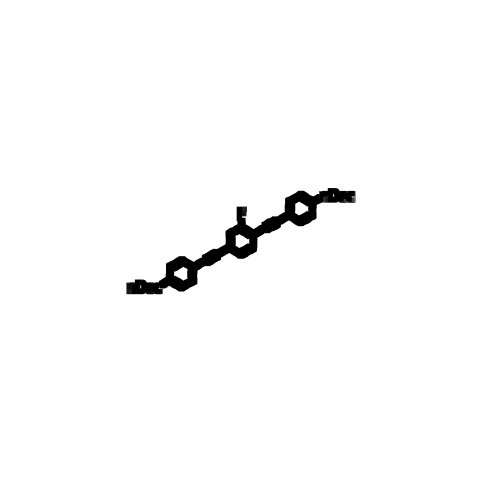 CCCCCCCCCCc1ccc(C#Cc2ccc(C#Cc3ccc(CCCCCCCCCC)cc3)c(F)c2)cc1